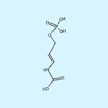 O=C(O)NC=CCOP(=O)(O)O